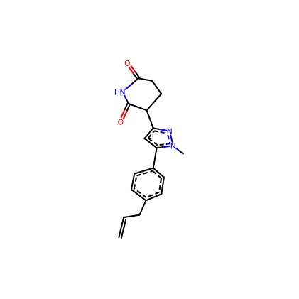 C=CCc1ccc(-c2cc(C3CCC(=O)NC3=O)nn2C)cc1